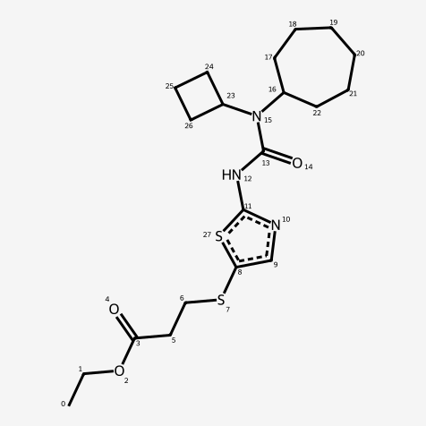 CCOC(=O)CCSc1cnc(NC(=O)N(C2CCCCCC2)C2CCC2)s1